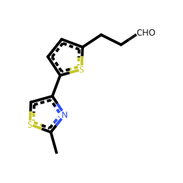 Cc1nc(-c2ccc(CCC=O)s2)cs1